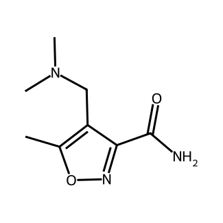 Cc1onc(C(N)=O)c1CN(C)C